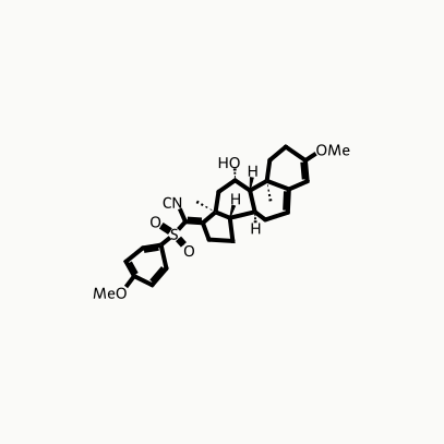 [C-]#[N+]C(=C1CC[C@H]2[C@@H]3CC=C4C=C(OC)CC[C@]4(C)[C@H]3[C@@H](O)C[C@]12C)S(=O)(=O)c1ccc(OC)cc1